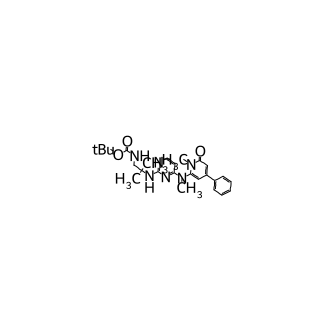 CN(c1ccnc(NC(C)(C)CNC(=O)OC(C)(C)C)n1)c1cc(-c2ccccc2)cc(=O)n1C